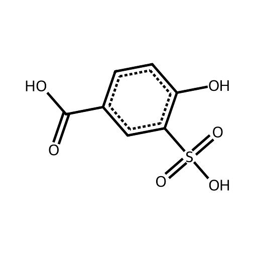 O=C(O)c1ccc(O)c(S(=O)(=O)O)c1